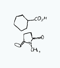 CN1C(=O)CCC1=O.O=C(O)C1CCCCC1